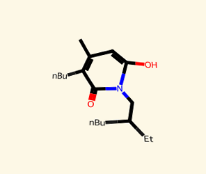 CCCCc1c(C)cc(O)n(CC(CC)CCCC)c1=O